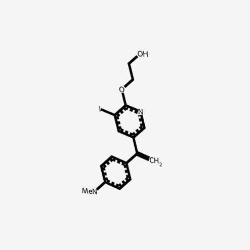 C=C(c1ccc(NC)cc1)c1cnc(OCCO)c(I)c1